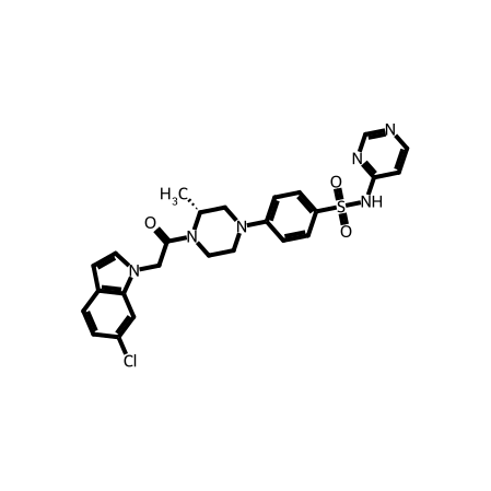 C[C@@H]1CN(c2ccc(S(=O)(=O)Nc3ccncn3)cc2)CCN1C(=O)Cn1ccc2ccc(Cl)cc21